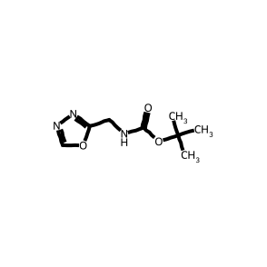 CC(C)(C)OC(=O)NCc1nnco1